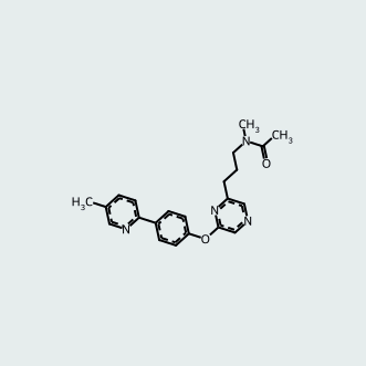 CC(=O)N(C)CCCc1cncc(Oc2ccc(-c3ccc(C)cn3)cc2)n1